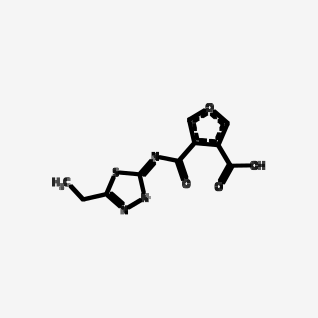 CCC1=N[N]C(=NC(=O)c2cocc2C(=O)O)S1